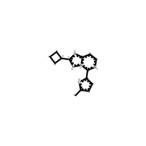 Cc1ccc(-c2nccc3nc(C4CCC4)nn23)o1